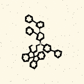 C/C=C1\C(=C/CN(C2=CC[C@H](c3cccc(-c4ccccc4)c3)C(c3ccccc3)=C2)c2ccc(-c3ccccc3)cc2)C2(c3ccccc31)c1ccccc1-c1ccccc12